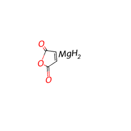 O=C1C=CC(=O)O1.[MgH2]